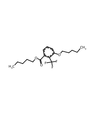 CCCCCOC(=O)c1cccc(OCCCCC)c1C(F)(F)F